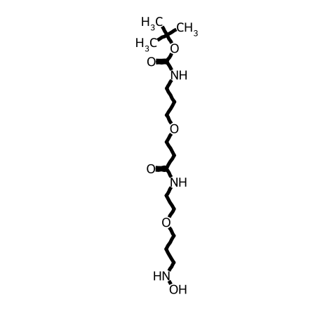 CC(C)(C)OC(=O)NCCCOCCC(=O)NCCOCCCNO